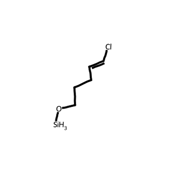 [SiH3]OCCCC=CCl